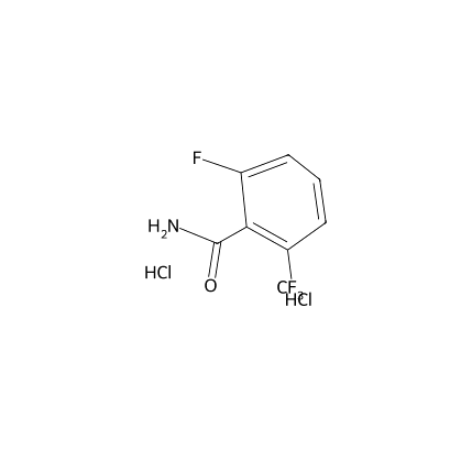 Cl.Cl.NC(=O)c1c(F)cccc1C(F)(F)F